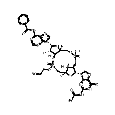 CC(C)C(=O)Nc1nc2c(ncn2[C@@H]2O[C@@H]3COP(=S)(OCCC#N)O[C@H]4[C@H](F)[C@H](n5cnc6c(NC(=O)c7ccccc7)ncnc65)O[C@@H]4COP(O)(=S)O[C@H]2[C@@H]3F)c(=O)[nH]1